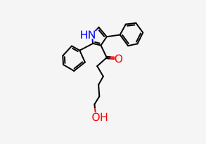 O=C(CCCCCO)c1c(-c2ccccc2)c[nH]c1-c1ccccc1